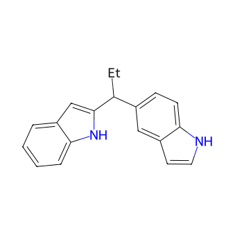 [CH2]CC(c1ccc2[nH]ccc2c1)c1cc2ccccc2[nH]1